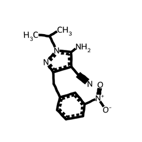 CC(C)n1nc(Cc2cccc([N+](=O)[O-])c2)c(C#N)c1N